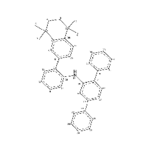 CC1(C)CCC(C)(C)c2cc(-c3ccccc3Nc3cc(-c4ccccc4)ccc3-c3ccccc3)ccc21